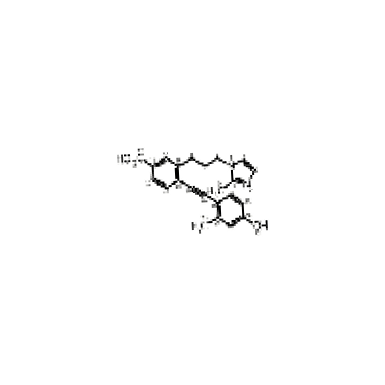 Cc1nccn1CCCc1cc(C(=O)O)ccc1C#Cc1ccc(O)cc1C(F)(F)F